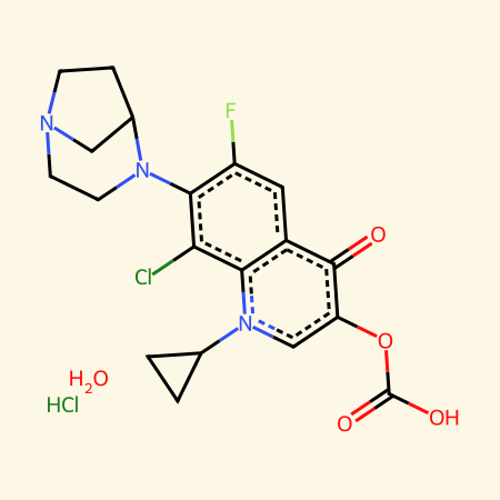 Cl.O.O=C(O)Oc1cn(C2CC2)c2c(Cl)c(N3CCN4CCC3C4)c(F)cc2c1=O